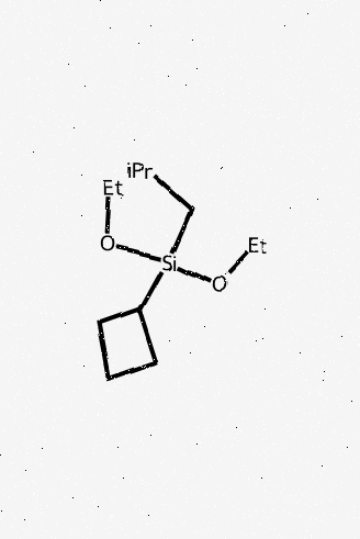 CCO[Si](CC(C)C)(OCC)C1CCC1